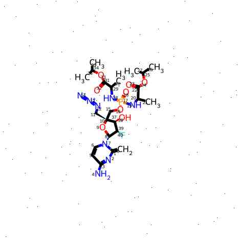 C=C1N=C(N)C=CN1[C@@H]1O[C@](CN=[N+]=[N-])(COP(=O)(NC(C)C(=O)OC(C)C)NC(C)C(=O)OC(C)C)[C@@H](O)[C@H]1F